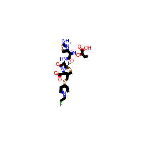 CCC(O/N=C(\C(=O)N[C@@H]1C(=O)N2C(C(=O)[O-])=C(CSc3cc[n+](CCF)cc3)CS[C@H]12)c1csc(N)n1)C(=O)O